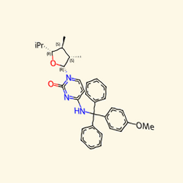 COc1ccc(C(Nc2ccn([C@@H]3O[C@H](C(C)C)[C@@H](C)[C@@H]3C)c(=O)n2)(c2ccccc2)c2ccccc2)cc1